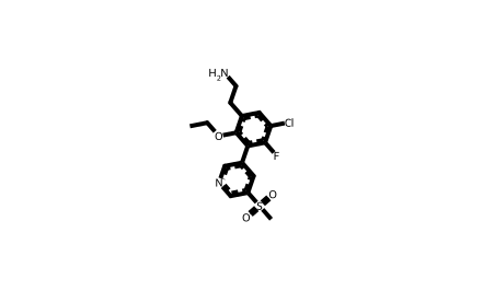 CCOc1c(CCN)cc(Cl)c(F)c1-c1cncc(S(C)(=O)=O)c1